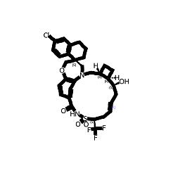 O=C1NS(=O)(=O)[C@H](C(F)(F)F)C/C=C/C[C@H](O)[C@@H]2CC[C@H]2CN2C[C@@]3(CCCc4cc(Cl)ccc43)COc3ccc1cc32